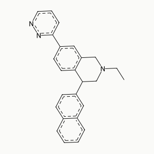 CCN1Cc2cc(-c3cccnn3)ccc2C(c2ccc3ccccc3c2)C1